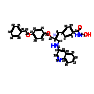 O=C(NO)c1ccc(/C=C(\CNc2cnc3ccccc3c2)COc2ccc(OCc3ccccc3)cc2)cc1